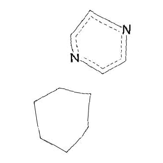 C1CCCCC1.c1cnccn1